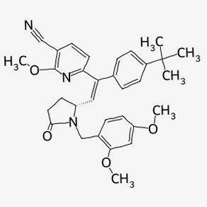 COc1ccc(CN2C(=O)CC[C@@H]2/C=C(/c2ccc(C(C)(C)C)cc2)c2ccc(C#N)c(OC)n2)c(OC)c1